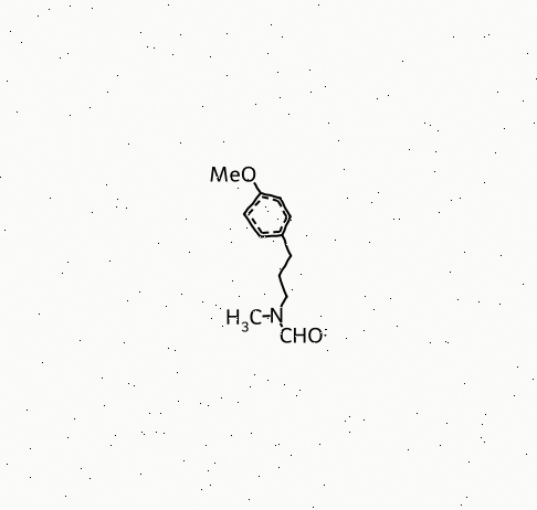 COc1ccc(CCCN(C)[C]=O)cc1